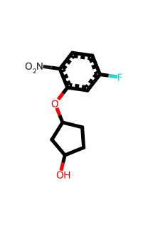 O=[N+]([O-])c1ccc(F)cc1OC1CCC(O)C1